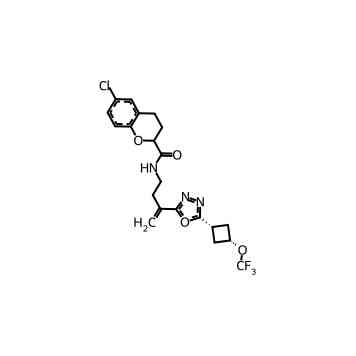 C=C(CCNC(=O)C1CCc2cc(Cl)ccc2O1)c1nnc([C@H]2C[C@@H](OC(F)(F)F)C2)o1